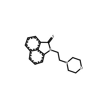 S=C1c2cccc3cccc(c23)N1CCN1CCOCC1